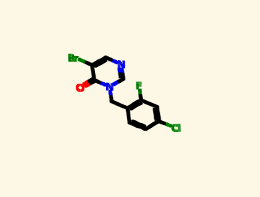 O=c1c(Br)cncn1Cc1ccc(Cl)cc1F